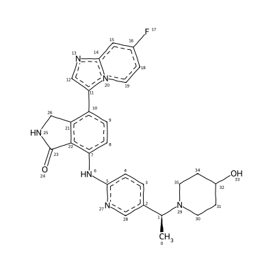 C[C@@H](c1ccc(Nc2ccc(-c3cnc4cc(F)ccn34)c3c2C(=O)NC3)nc1)N1CCC(O)CC1